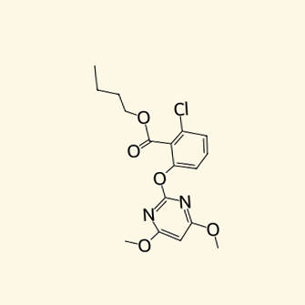 CCCCOC(=O)c1c(Cl)cccc1Oc1nc(OC)cc(OC)n1